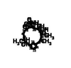 CO[C@H]1CC/C=C(\C)C(=O)Nc2cccc(c2)C[C@@H](C)C[C@H](OC)[C@@H](O)C(C)/C=C(\C)[C@@H]1OC(N)=O